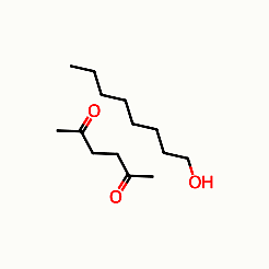 CC(=O)CCC(C)=O.CCCCCCCCO